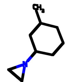 CC1CCCC(N2CC2)C1